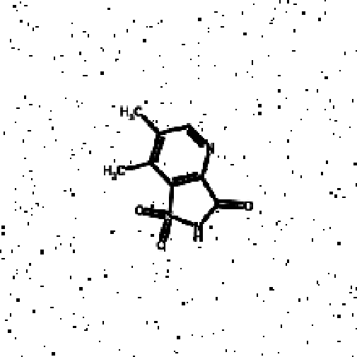 Cc1cnc2c(c1C)S(=O)(=O)NC2=O